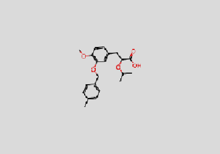 COc1ccc(CC(OC(C)C)C(=O)O)cc1OCc1ccc(C)cc1